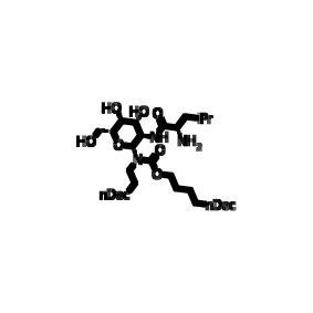 CCCCCCCCCCCCCCOC(=O)N(CCCCCCCCCCCC)[C@@H]1O[C@H](CO)[C@@H](O)[C@H](O)[C@H]1NC(=O)[C@@H](N)CC(C)C